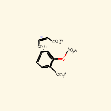 O=C(O)/C=C\C(=O)O.O=C(O)c1ccccc1OS(=O)(=O)O